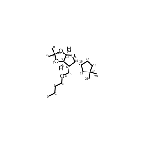 CCCCOC[C@H]1[C@H]2OC(C)(C)O[C@H]2O[C@@H]1C1CCC(C)(C)C1